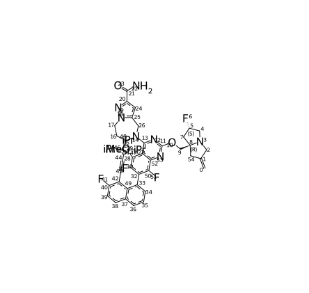 C=C1CN2C[C@@H](F)C[C@@]2(COc2nc(N3CCCn4nc(C(N)=O)cc4C3)c3c(OC)c(F)c(-c4cccc5ccc(F)c(C#C[Si](C(C)C)(C(C)C)C(C)C)c45)c(F)c3n2)C1